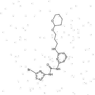 O=C(Nc1cccc(NCCCOC2CCCCO2)n1)Nc1csc(Br)n1